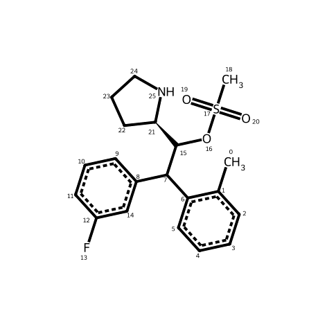 Cc1ccccc1C(c1cccc(F)c1)C(OS(C)(=O)=O)[C@H]1CCCN1